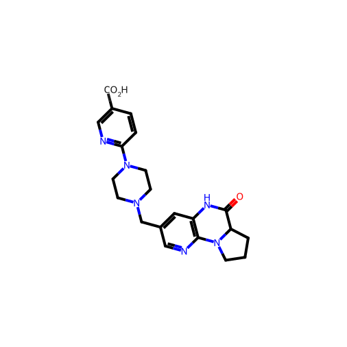 O=C(O)c1ccc(N2CCN(Cc3cnc4c(c3)NC(=O)C3CCCN43)CC2)nc1